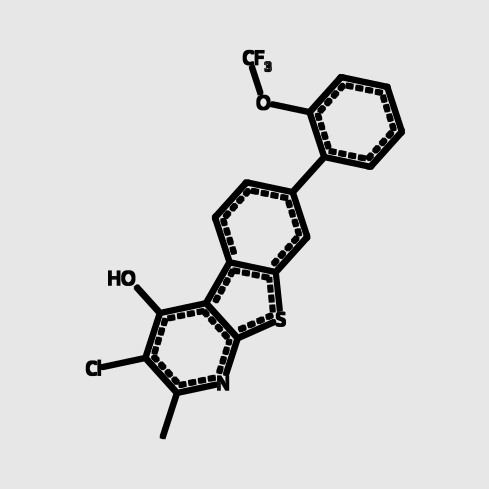 Cc1nc2sc3cc(-c4ccccc4OC(F)(F)F)ccc3c2c(O)c1Cl